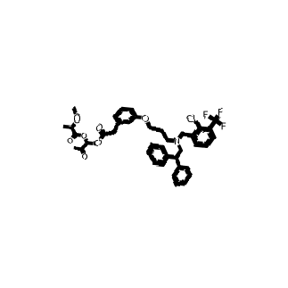 COC(C)C(=O)OC(OC(=O)Cc1cccc(OCCCN(Cc2cccc(C(F)(F)F)c2Cl)CC(c2ccccc2)c2ccccc2)c1)C(C)=O